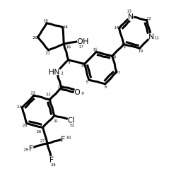 O=C(NC(c1cccc(-c2cncnc2)c1)C1(O)CCCC1)c1cccc(C(F)(F)F)c1Cl